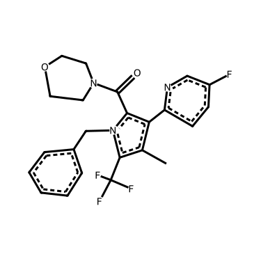 Cc1c(-c2ccc(F)cn2)c(C(=O)N2CCOCC2)n(Cc2ccccc2)c1C(F)(F)F